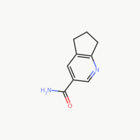 NC(=O)c1cnc2c(c1)CCC2